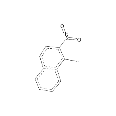 [CH2]c1c([SH](=O)=O)ccc2ccccc12